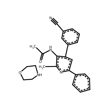 C1COCCN1.CC(=O)Nc1c(-c2cccc(C#N)c2)cc(-c2ccccc2)nc1C